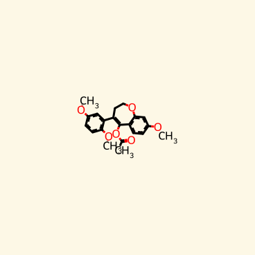 COc1ccc2c(c1)OCCC(c1cc(OC)ccc1OC)=C2OC(C)=O